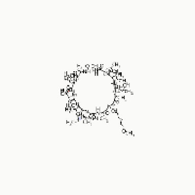 C/C=C/C[C@@H](C)[C@@H](O)[C@H]1C(=O)N[C@@H](CC)C(=O)N(C)[C@H](CSCCCCCOC)C(=O)N(C)[C@@H](CC(C)(C)O)C(=O)N[C@@H](C(C)C)C(=O)N(C)[C@@H](CC(C)C)C(=O)N[C@@H](C)C(=O)N[C@H](C)C(=O)N(C)[C@@H](CC(C)C)C(=O)N(C)[C@@H](CC(C)C)C(=O)N(C)[C@@H](C(C)C)C(=O)N1C